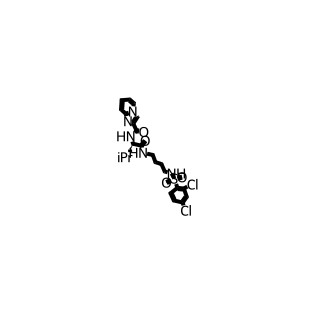 CC(C)C[C@H](NC(=O)c1cn2ccccc2n1)C(=O)NCCCCNS(=O)(=O)c1ccc(Cl)cc1Cl